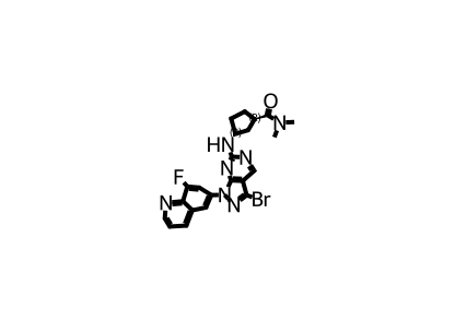 CN(C)C(=O)[C@@H]1CC[C@@H](Nc2ncc3c(Br)nn(-c4cc(F)c5ncccc5c4)c3n2)C1